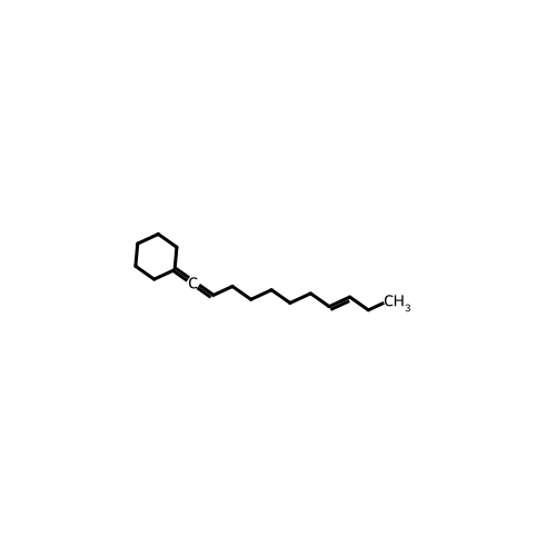 CCC=CCCCCCC=C=C1CCCCC1